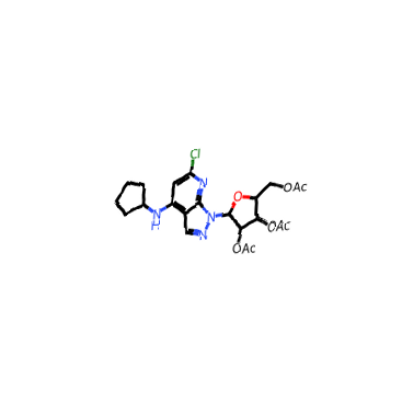 CC(=O)OCC1OC(n2ncc3c(NC4CCCC4)cc(Cl)nc32)C(OC(C)=O)C1OC(C)=O